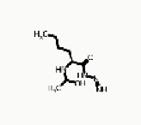 CCCC[C@H](NC(C)O)C(=O)NN=N